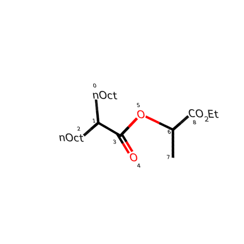 CCCCCCCCC(CCCCCCCC)C(=O)OC(C)C(=O)OCC